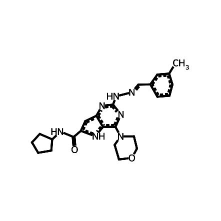 Cc1cccc(/C=N/Nc2nc(N3CCOCC3)c3[nH]c(C(=O)NC4CCCC4)cc3n2)c1